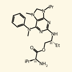 CC[C@H](COC(=O)[C@@H](N)C(C)C)Nc1nc(N(C)c2ccccc2)c2c(n1)N(C(C)C)CN2C